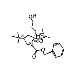 C[SiH](C)O[C@]1(CCCO)C[C@H](C(C)(C)C)CN1C(=O)OCc1ccccc1